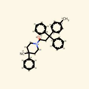 Cc1ccc(C(CC(=O)N2CCC(C#N)(c3ccccc3)CC2)(c2ccccc2)c2ccccc2)cc1